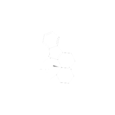 Cn1c2c(c3ccccc31)CCN1CCC[C@](C)(C(=O)O)[C@]21C